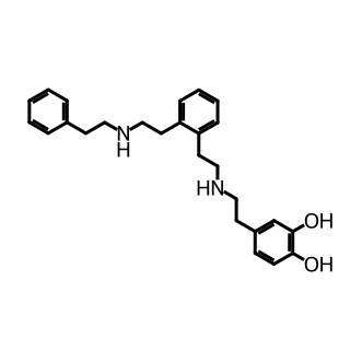 Oc1ccc(CCNCCc2ccccc2CCNCCc2ccccc2)cc1O